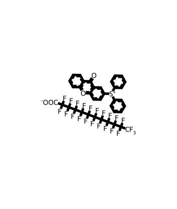 O=C([O-])C(F)(F)C(F)(F)C(F)(F)C(F)(F)C(F)(F)C(F)(F)C(F)(F)C(F)(F)C(F)(F)C(F)(F)C(F)(F)F.O=c1c2ccccc2oc2ccc([S+](c3ccccc3)c3ccccc3)cc12